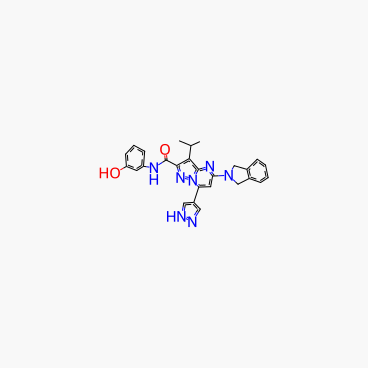 CC(C)c1c(C(=O)Nc2cccc(O)c2)nn2c(-c3cn[nH]c3)cc(N3Cc4ccccc4C3)nc12